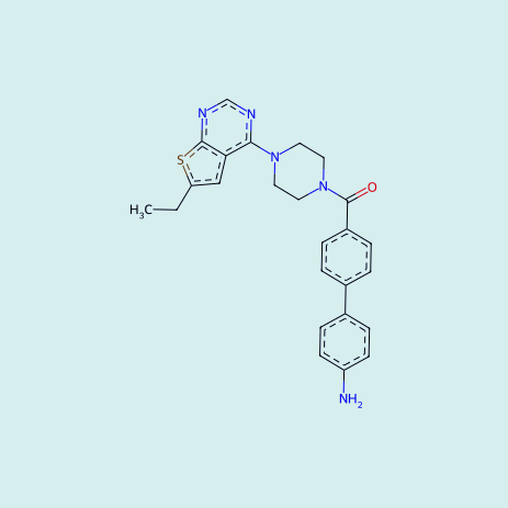 CCc1cc2c(N3CCN(C(=O)c4ccc(-c5ccc(N)cc5)cc4)CC3)ncnc2s1